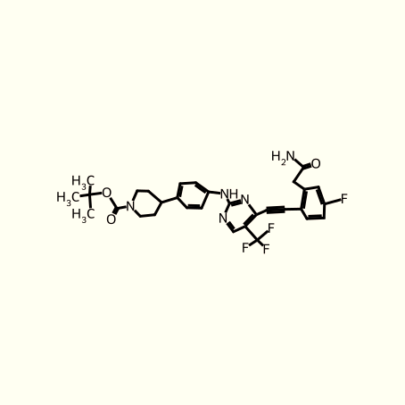 CC(C)(C)OC(=O)N1CCC(c2ccc(Nc3ncc(C(F)(F)F)c(C#Cc4ccc(F)cc4CC(N)=O)n3)cc2)CC1